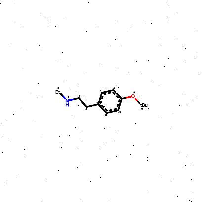 CCNCCc1ccc(OC(C)(C)C)cc1